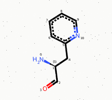 N[C@H]([C]=O)Cc1ccccn1